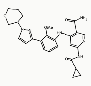 COc1c(Nc2cc(NC(=O)C3CC3)ncc2C(N)=O)cccc1-c1ccn(C2CCCOC2)n1